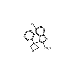 CCOC(=O)c1[nH]c2ccc(Cl)cc2c1C1(c2ccccc2)COC1